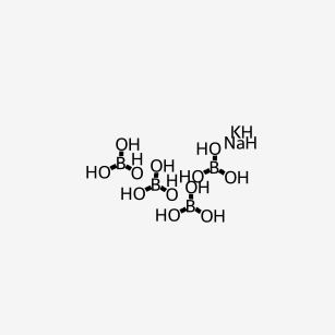 OB(O)O.OB(O)O.OB(O)O.OB(O)O.[KH].[NaH]